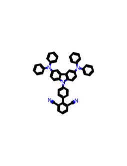 N#Cc1cccc(C#N)c1-c1ccc(-n2c3ccc(N(c4ccccc4)c4ccccc4)cc3c3cc(N(c4ccccc4)c4ccccc4)ccc32)cc1